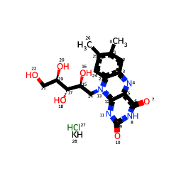 Cc1cc2nc3c(=O)[nH]c(=O)nc-3n(C[C@H](O)[C@H](O)[C@H](O)CO)c2cc1C.Cl.[KH]